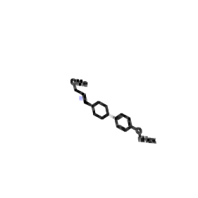 CCCCCCOc1ccc([C@H]2CC[C@H](/C=C/COC)CC2)cc1